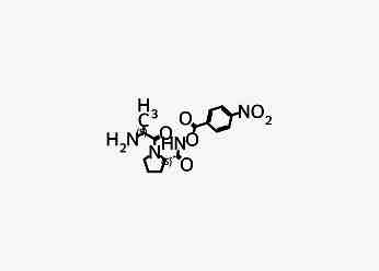 C[C@H](N)C(=O)N1CCC[C@H]1C(=O)NOC(=O)c1ccc([N+](=O)[O-])cc1